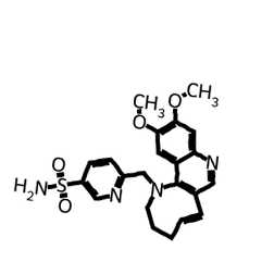 COc1cc2ncc3c(c2cc1OC)N(Cc1ccc(S(N)(=O)=O)cn1)CCC/C=C/3